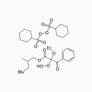 CCOC(OO)(C(=O)OCC(C)CC(C)(C)C)C(=O)c1ccccc1.O=S(=O)(OOS(=O)(=O)C1CCCCC1)C1CCCCC1